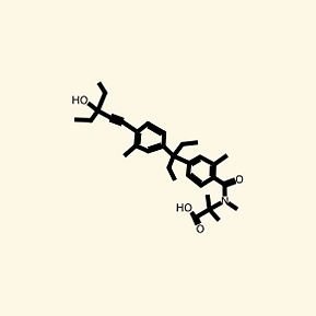 CCC(O)(C#Cc1ccc(C(CC)(CC)c2ccc(C(=O)N(C)C(C)(C)C(=O)O)c(C)c2)cc1C)CC